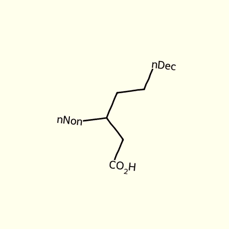 CCCCCCCCCCCCC(CCCCCCCCC)CC(=O)O